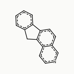 c1ccc2c(c1)Cc1c-2ccc2cnccc12